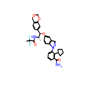 C[C@H](NC(=O)C(C)(F)F)[C@H](Oc1ccc2c(cnn2-c2cccc(C(N)=O)c2C2CCCC2)c1)c1ccc2c(c1)OCOC2